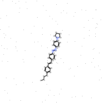 CCCCc1ccc(/C=C/c2ccc(/N=N/c3ccc(N4CCCC4)cc3)cc2)cc1